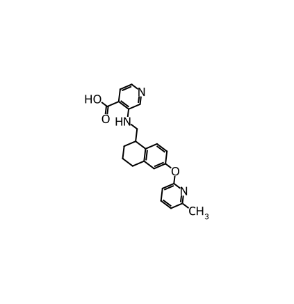 Cc1cccc(Oc2ccc3c(c2)CCCC3CNc2cnccc2C(=O)O)n1